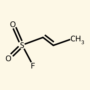 CC=CS(=O)(=O)F